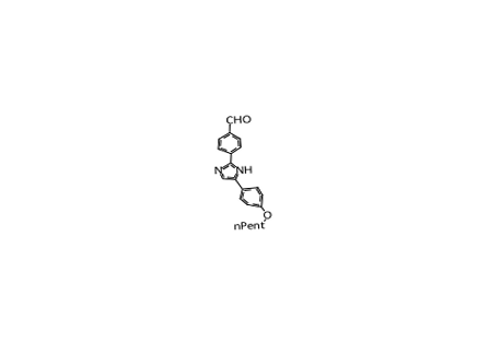 CCCCCOc1ccc(-c2cnc(-c3ccc(C=O)cc3)[nH]2)cc1